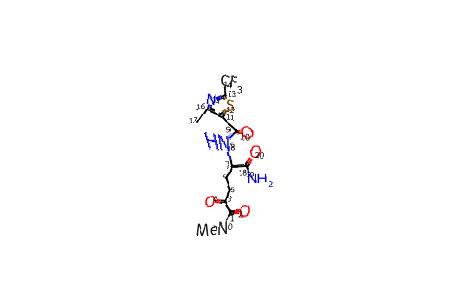 CNC(=O)C(=O)CCC(NC(=O)c1sc(C(F)(F)F)nc1C)C(N)=O